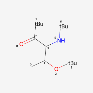 CC(OC(C)(C)C)C(NC(C)(C)C)C(=O)C(C)(C)C